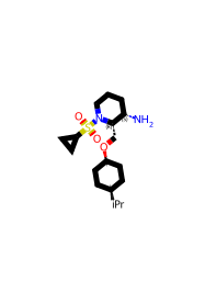 CC(C)[C@H]1CC[C@@H](OC[C@H]2[C@@H](N)CCCN2S(=O)(=O)C2CC2)CC1